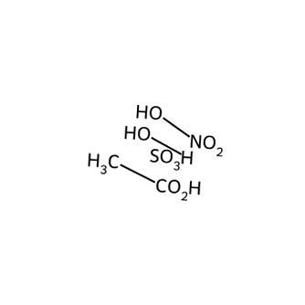 CC(=O)O.O=S(=O)(O)O.O=[N+]([O-])O